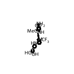 COc1cc(S(N)(=O)=O)ccc1NCC#Cc1cc2c(N[C@H]3CC[C@H](N4C[C@@H](O)[C@H](O)C4)CC3)cccc2n1CC(F)(F)F